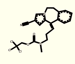 CN(CCC=C1c2ccccc2CCn2cc(C#N)cc21)C(=O)OCC(Cl)(Cl)Cl